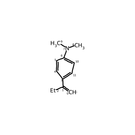 [CH]=C(CC)c1ccc(N(C)C)cc1